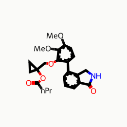 CCCC(=O)OC1(COc2c(-c3cccc4c3CNC4=O)ccc(OC)c2OC)CC1